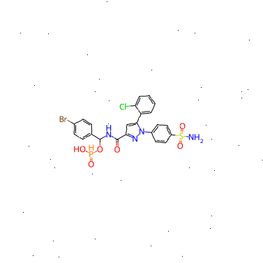 NS(=O)(=O)c1ccc(-n2nc(C(=O)NC(O[PH](=O)O)c3ccc(Br)cc3)cc2-c2ccccc2Cl)cc1